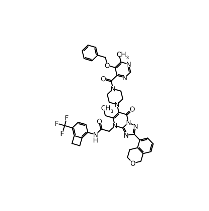 CCc1c(N2CCN(C(=O)c3ncnc(C)c3OCc3ccccc3)CC2)c(=O)n2nc(-c3cccc4c3CCOC4)nc2n1CC(=O)Nc1ccc(C(F)(F)F)c2c1CC2